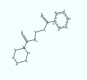 O=C(CCSC(=S)N1CCCCC1)c1ccccc1